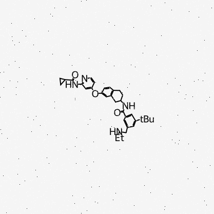 CCNCc1cc(C(=O)NC2CCc3ccc(Oc4ccnc(NC(=O)C5CC5)c4)cc3C2)cc(C(C)(C)C)c1